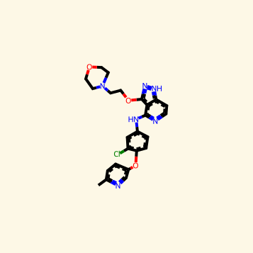 Cc1ccc(Oc2ccc(Nc3nccc4[nH]nc(OCCN5CCOCC5)c34)cc2Cl)cn1